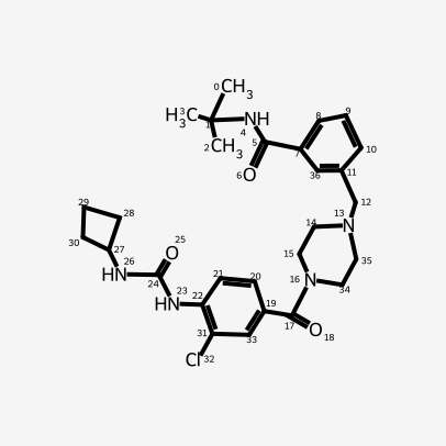 CC(C)(C)NC(=O)c1cccc(CN2CCN(C(=O)c3ccc(NC(=O)NC4CCC4)c(Cl)c3)CC2)c1